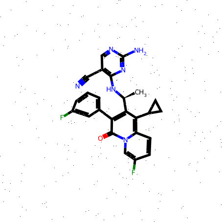 C[C@H](Nc1nc(N)ncc1C#N)c1c(-c2cccc(F)c2)c(=O)n2cc(F)ccc2c1C1CC1